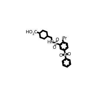 CC(C)c1ccc(S(=O)(=O)c2ccccc2)cc1S(=O)(=O)NCC1CCC(C(=O)O)CC1